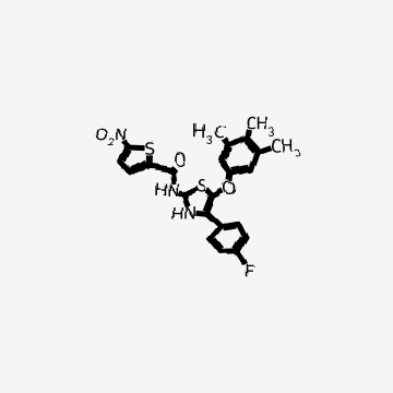 Cc1cc(OC2=C(c3ccc(F)cc3)NC(NC(=O)c3ccc([N+](=O)[O-])s3)S2)cc(C)c1C